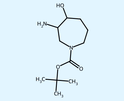 CC(C)(C)OC(=O)N1CCCC(O)C(N)C1